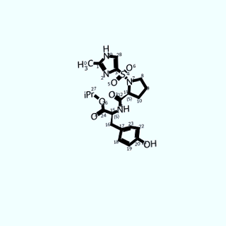 Cc1nc(S(=O)(=O)N2CCC[C@H]2C(=O)N[C@@H](Cc2ccc(O)cc2)C(=O)OC(C)C)c[nH]1